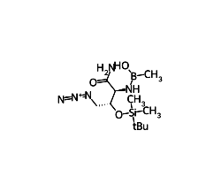 CB(O)N[C@H](C(N)=O)[C@@H](CN=[N+]=[N-])O[Si](C)(C)C(C)(C)C